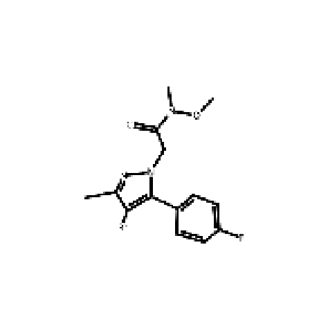 CON(C)C(=O)Cn1nc(C)c(Br)c1-c1ccc(F)cc1